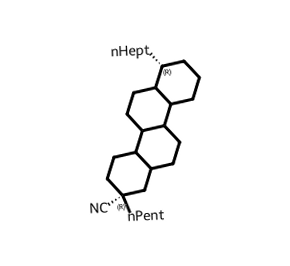 CCCCCCC[C@@H]1CCCC2C3CCC4C[C@@](C#N)(CCCCC)CCC4C3CCC21